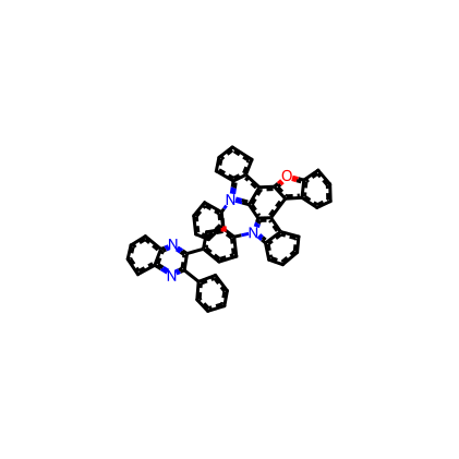 Cc1cc(-c2nc3ccccc3nc2-c2ccccc2)ccc1-n1c2ccccc2c2c3c4ccccc4oc3c3c4ccccc4n(-c4ccccc4)c3c21